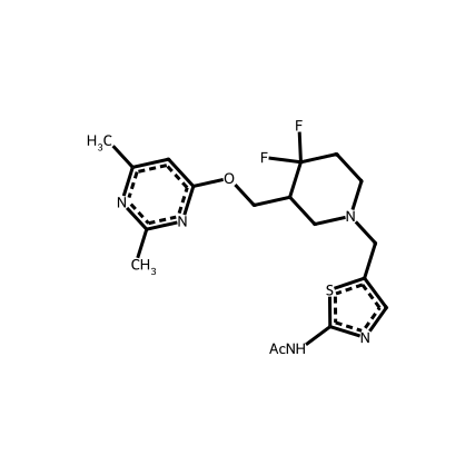 CC(=O)Nc1ncc(CN2CCC(F)(F)C(COc3cc(C)nc(C)n3)C2)s1